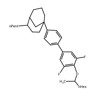 CCCCCCC(C)Oc1c(F)cc(-c2ccc(C34CCCC(C3)C(CCCCC)CC4)cc2)cc1F